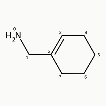 NCC1=CCCCC1